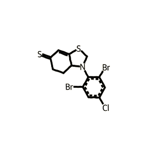 S=C1C=C2SCN(c3c(Br)cc(Cl)cc3Br)C2CC1